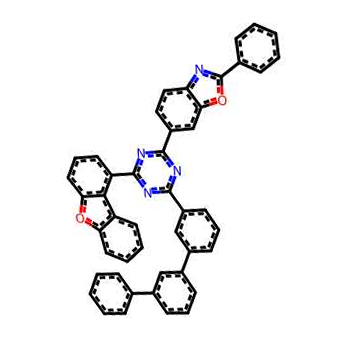 c1ccc(-c2cccc(-c3cccc(-c4nc(-c5ccc6nc(-c7ccccc7)oc6c5)nc(-c5cccc6oc7ccccc7c56)n4)c3)c2)cc1